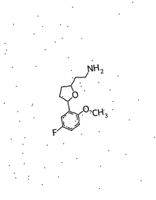 COc1ccc(F)cc1C1CCC(CCN)O1